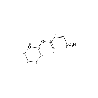 O=C(O)/C=C\C(=O)OC1CCCCO1